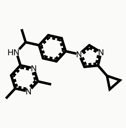 Cc1cc(NC(C)c2ccc(-n3cnc(C4CC4)c3)cc2)nc(C)n1